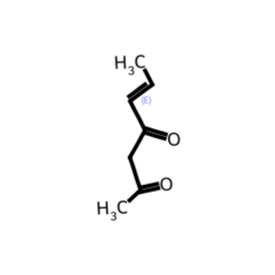 C/C=C/C(=O)CC(C)=O